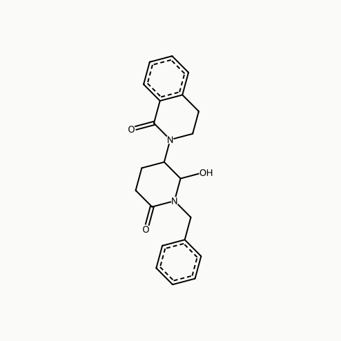 O=C1CCC(N2CCc3ccccc3C2=O)C(O)N1Cc1ccccc1